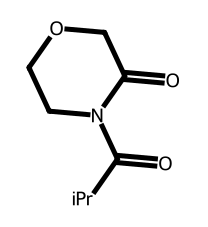 CC(C)C(=O)N1CCOCC1=O